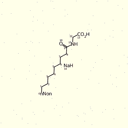 CCCCCCCCCCCCCCCCCC(=O)NCC(=O)O.[NaH]